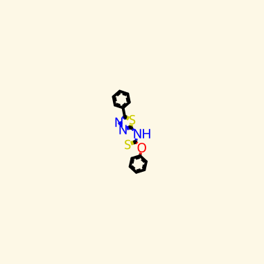 S=C(Nc1nnc(-c2ccccc2)s1)Oc1ccccc1